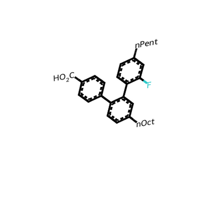 CCCCCCCCc1ccc(-c2ccc(C(=O)O)cc2)c(-c2ccc(CCCCC)cc2F)c1